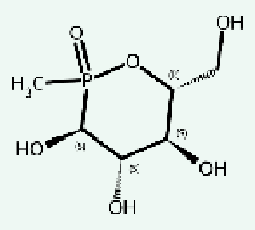 CP1(=O)O[C@H](CO)[C@@H](O)[C@H](O)[C@H]1O